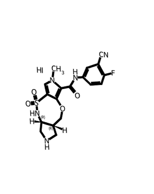 Cn1cc2c(c1C(=O)Nc1ccc(F)c(C#N)c1)OC[C@@H]1CNC[C@@H]1NS2(=O)=O.I